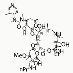 CCCNC[C@]1(O)[C@H](C)O[C@@H](O[C@H]2[C@H](C)[C@@H](O[C@@H]3O[C@H](C)C[C@H](N(C)C(=O)N(C)c4ccncc4C)[C@H]3O)[C@](C)(O)C[C@@H](C)CN[C@H](C)[C@@H](O)[C@](C)(O)[C@@H](CC)OC(=O)[C@@H]2C)C[C@@]1(C)OC